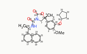 COc1ccc([C@]2(C)CN(C(=O)N[C@H](C)c3cccc4ccccc34)C(=O)O2)cc1OC1CCCC1